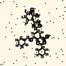 Cc1c(C)c(C)[n+]([O-])c(Br)c1-c1noc(-c2cc(OCc3ccccc3)c(OCc3ccccc3)c([N+](=O)[O-])c2)n1